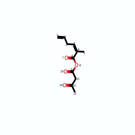 C=CCC=C(C)C(=O)OC(=O)CC(C)=O